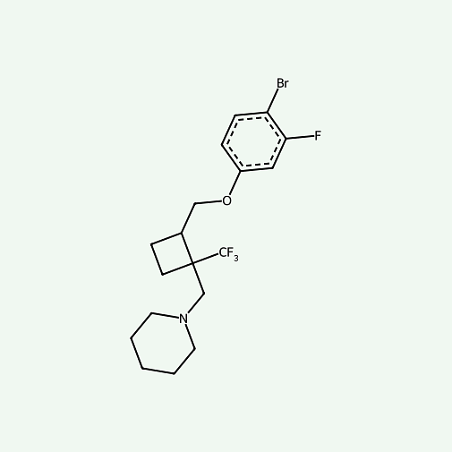 Fc1cc(OCC2CCC2(CN2CCCCC2)C(F)(F)F)ccc1Br